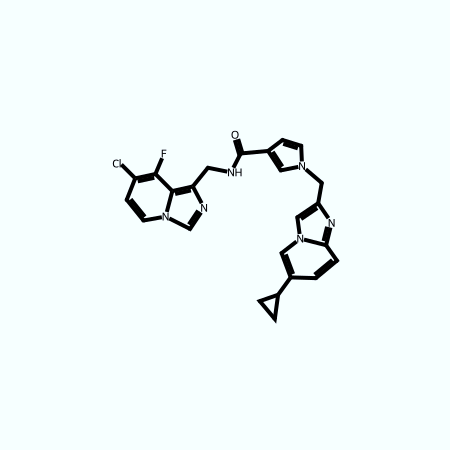 O=C(NCc1ncn2ccc(Cl)c(F)c12)c1ccn(Cc2cn3cc(C4CC4)ccc3n2)c1